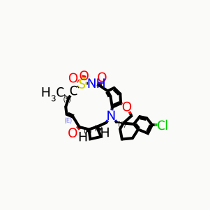 C[C@H]1C/C=C/C(=O)[C@@H]2CC[C@H]2CN2C[C@@]3(CCCc4cc(Cl)ccc43)COc3ccc(cc32)C(=O)NS(=O)(=O)C1